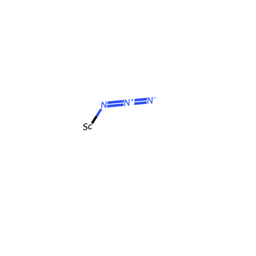 [N-]=[N+]=[N][Sc]